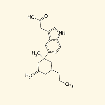 C=C1CC(CCC)CC(C)(c2ccc3[nH]cc(CC(=O)O)c3c2)C1